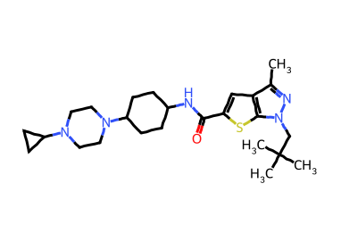 Cc1nn(CC(C)(C)C)c2sc(C(=O)NC3CCC(N4CCN(C5CC5)CC4)CC3)cc12